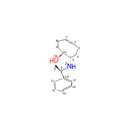 C[C@@H](N[C@H]1CCC=CCC[C@@H]1O)c1ccccc1